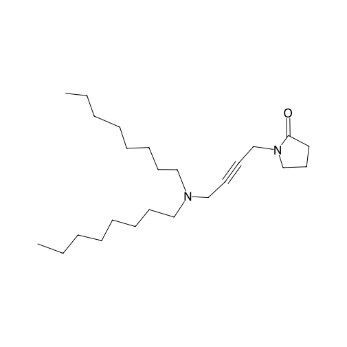 CCCCCCCCN(CC#CCN1CCCC1=O)CCCCCCCC